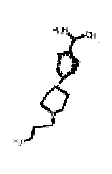 CCCCN1CCN(c2ccc(C(C)N)cc2)CC1